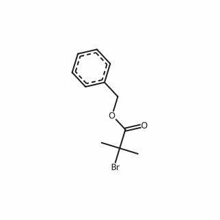 CC(C)(Br)C(=O)OCc1ccccc1